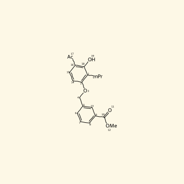 CCCc1c(OCc2cccc(C(=O)OC)c2)ccc(C(C)=O)c1O